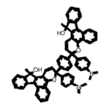 CN(C)c1ccc(C2(c3ccc(C4(c5ccc(N(C)C)cc5)C=Cc5c6c(c7ccccc7c5O4)-c4ccccc4C6(C)O)cc3)C=Cc3c4c(c5ccccc5c3O2)-c2ccccc2C4(C)O)cc1